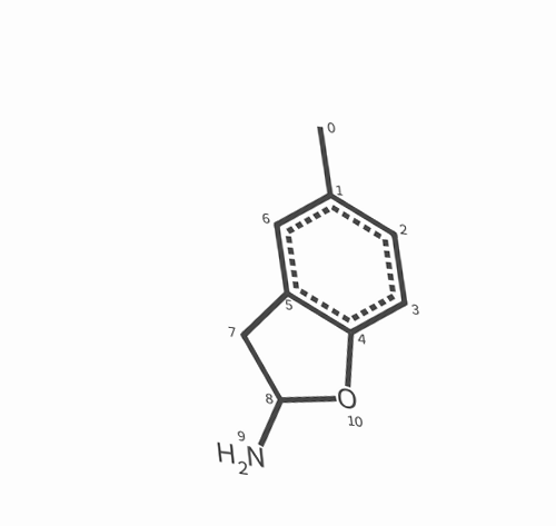 Cc1ccc2c(c1)CC(N)O2